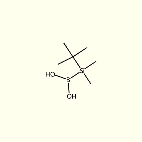 CC(C)(C)[Si](C)(C)B(O)O